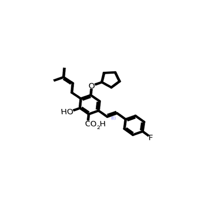 CC(C)=CCc1c(OC2CCCC2)cc(/C=C/c2ccc(F)cc2)c(C(=O)O)c1O